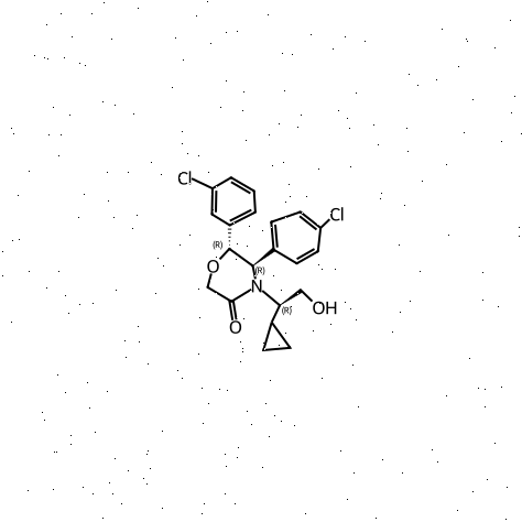 O=C1CO[C@H](c2cccc(Cl)c2)[C@@H](c2ccc(Cl)cc2)N1[C@@H](CO)C1CC1